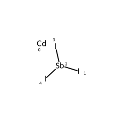 [Cd].[I][Sb]([I])[I]